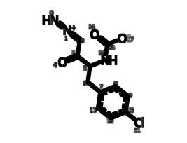 N=[N+]=CC(=O)C(Cc1ccc(Cl)cc1)NC(=O)[O-]